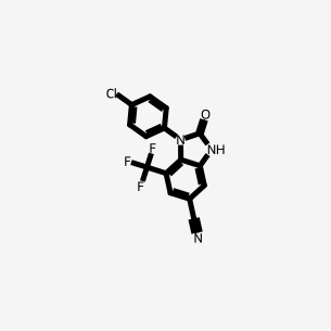 N#Cc1cc(C(F)(F)F)c2c(c1)[nH]c(=O)n2-c1ccc(Cl)cc1